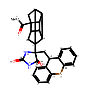 COC(=O)C12CC3C4C1C1C2CC3(C2(CC3c5ccccc5Sc5ccccc53)NC(=O)NC2=O)C14